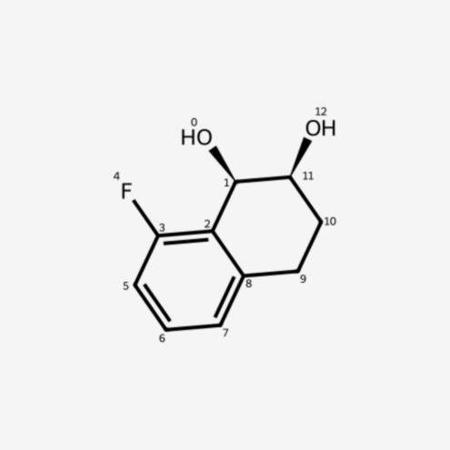 O[C@@H]1c2c(F)cccc2CC[C@@H]1O